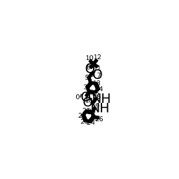 COc1cc(CC(=O)OC(C)(C)C)ccc1NC(=O)Nc1ccccc1C